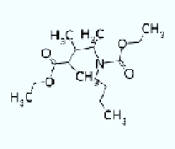 CCCCN(C(=O)OCC)C(C)C(C)C(C)C(=O)OCC